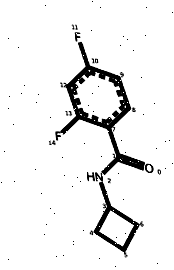 O=C(NC1CCC1)c1ccc(F)cc1F